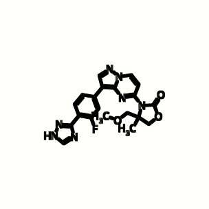 COCC1(C)COC(=O)N1c1ccn2ncc(-c3ccc(-c4nc[nH]n4)c(F)c3)c2n1